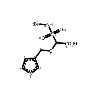 CCOC(=O)C(OCc1ccsc1)S(=O)(=O)NC(C)(C)C